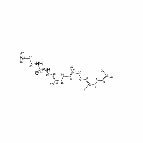 CC(C)=CCCC(C)=CCCC(C)=CCCC(C)=CCNC(=O)NCCN(C)C